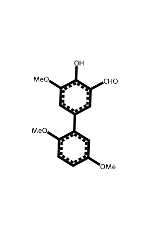 COc1ccc(OC)c(-c2cc(C=O)c(O)c(OC)c2)c1